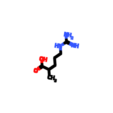 CC(CCCNC(=N)N)C(=O)O